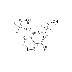 CC(C)(C)CO.CC(C)(C)CO.O=C(O)c1cncnc1C(=O)O